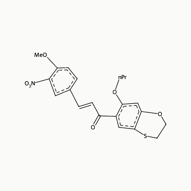 CCCOc1cc2c(cc1C(=O)/C=C/c1ccc(OC)c([N+](=O)[O-])c1)SCCO2